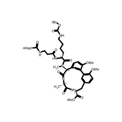 CCCCCCCC(=O)NCCC(=O)N[C@@H](CCCCNC(=O)OC(C)(C)C)C(=O)N(C)[C@@H]1C(=O)N[C@@H](C)C(=O)N[C@H](C(=O)OC)Cc2ccc(OC)c(c2)-c2cc1ccc2OC